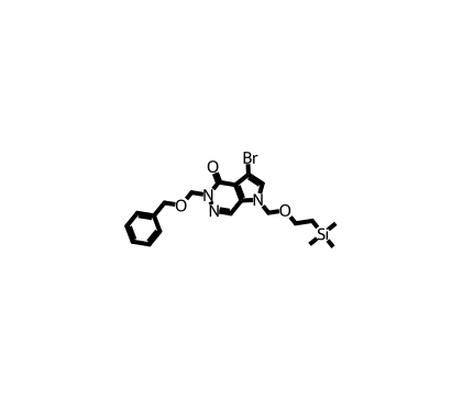 C[Si](C)(C)CCOCn1cc(Br)c2c(=O)n(COCc3ccccc3)ncc21